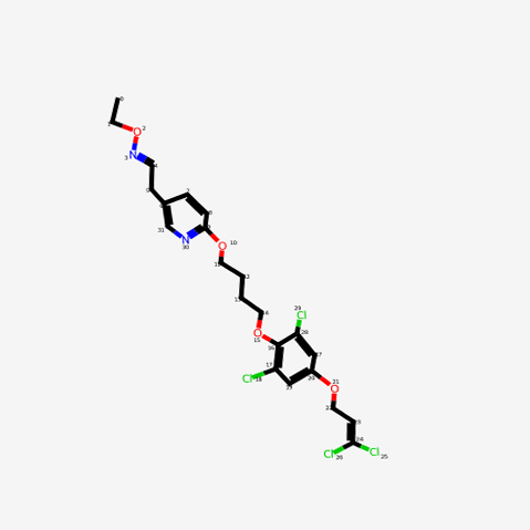 CCON=CCc1ccc(OCCCCOc2c(Cl)cc(OCC=C(Cl)Cl)cc2Cl)nc1